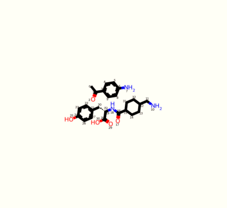 CC(=O)c1ccc(N)cc1.NCC1CCC(C(=O)N[C@@H](Cc2ccc(O)cc2)C(=O)O)CC1